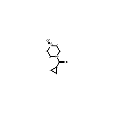 O=C(C1CC1)N1CC[PH](=O)CC1